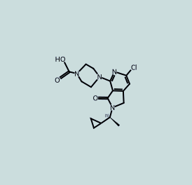 C[C@@H](C1CC1)N1Cc2cc(Cl)nc(N3CCN(C(=O)O)CC3)c2C1=O